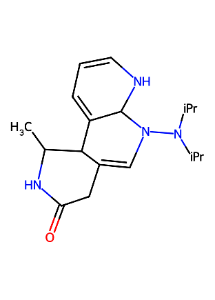 CC1NC(=O)CC2=CN(N(C(C)C)C(C)C)C3NC=CC=C3C21